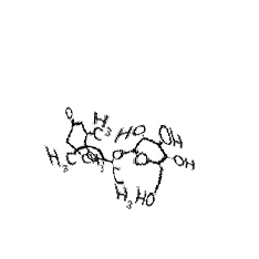 C[C@H](/C=C/[C@@]1(O)[C@H](C)CC(=O)CC1(C)C)O[C@@H]1O[C@H](CO)[C@@H](O)[C@H](O)[C@H]1O